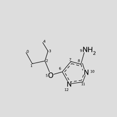 CCC(CC)Oc1cc(N)ncn1